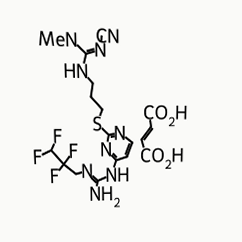 CNC(=NC#N)NCCCSc1nccc(NC(N)=NCC(F)(F)C(F)F)n1.O=C(O)C=CC(=O)O